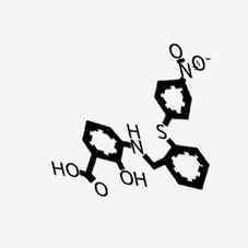 O=C(O)c1cccc(NCc2ccccc2Sc2ccc([N+](=O)[O-])cc2)c1O